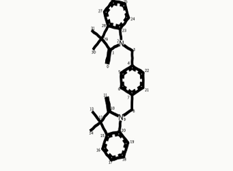 C=C1N(Cc2ccc(CN3C(=C)C(C)(C)c4ccccc43)cc2)c2ccccc2C1(C)C